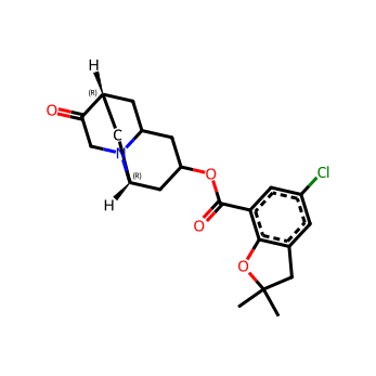 CC1(C)Cc2cc(Cl)cc(C(=O)OC3CC4C[C@@H]5C[C@H](C3)N4CC5=O)c2O1